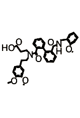 COc1ccccc1CNC(=O)c1ccccc1-c1ccccc1C(=O)N(CCC(=O)O)CCc1ccc(OC)c(OC)c1